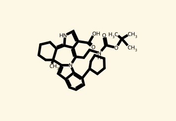 CC(C)(C)OC(=O)NCCC1=c2c(C(=O)O)c[nH]c2=C2CCCCC2(C)c2cc3cccc(C4CCCCC4)c3n21